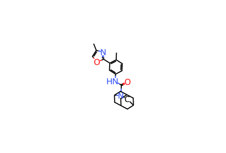 Cc1coc(-c2cc(NC(=O)N3CC4CC5CC(C4)CC3C5)ccc2C)n1